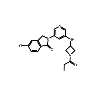 CCC(=O)N1CC(Nc2cncc(N3Cc4cc(Cl)ccc4C3=O)c2)C1